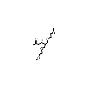 COCCOCC(COCCOC)NCC(C)=O